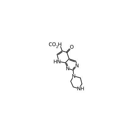 O=C(O)c1c[nH]c2nc(N3CCNCC3)ncc2c1=O